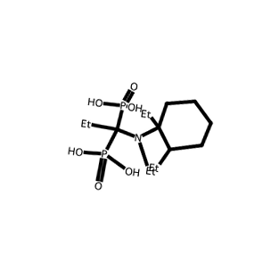 CCC1CCCCC1(CC)N(CC)C(CC)(P(=O)(O)O)P(=O)(O)O